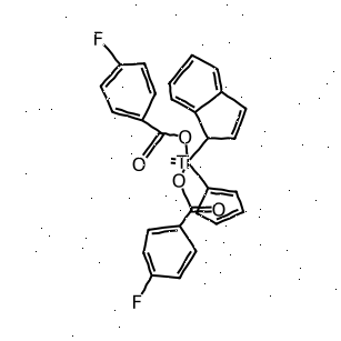 [CH2]=[Ti]([O]C(=O)c1ccc(F)cc1)([O]C(=O)c1ccc(F)cc1)([C]1=CC=CC1)[CH]1C=Cc2ccccc21